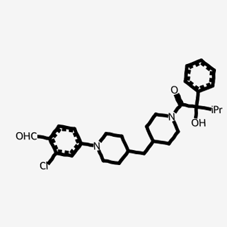 CC(C)C(O)(C(=O)N1CCC(CC2CCN(c3ccc(C=O)c(Cl)c3)CC2)CC1)c1ccccc1